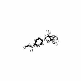 CC1(C)OB(c2ccc(NC=O)nc2)OC1(C)C